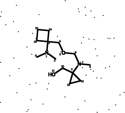 CN(C)C1(COCN(C)C2(CO)CC2)CCC1